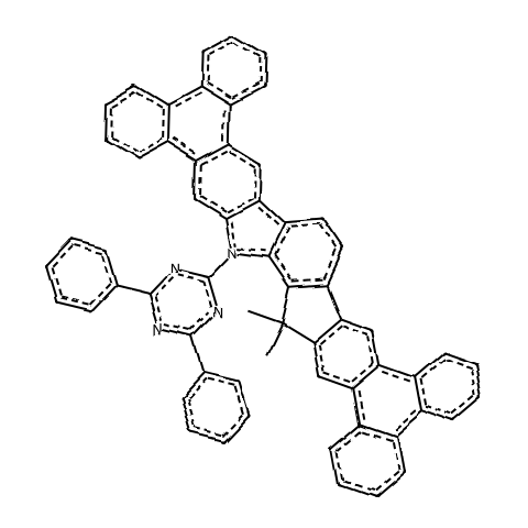 CC1(C)c2cc3c4ccccc4c4ccccc4c3cc2-c2ccc3c4cc5c6ccccc6c6ccccc6c5cc4n(-c4nc(-c5ccccc5)nc(-c5ccccc5)n4)c3c21